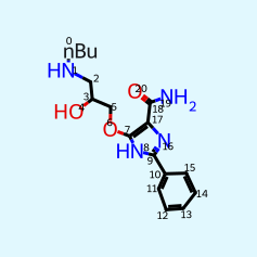 CCCCNCC(O)COc1[nH]c(-c2ccccc2)nc1C(N)=O